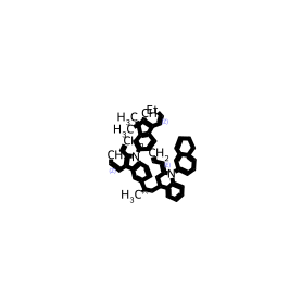 C=C/C=C1\CC(C[C@@H](C)c2ccc3c(c2)c(/C=C\C)c(C=C)n3-c2ccc3c(c2)C(C)(C)C(C)=C3/C=C\CC)c2ccccc2N1C1=CCC=C2CCC=CC2=C1